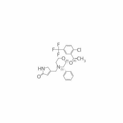 C[C@@H](O[C@H]1OCCN(CC2=CC(=O)NC2)[C@H]1c1ccccc1)c1cc(C(F)(F)F)ccc1Cl